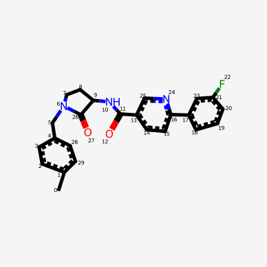 Cc1ccc(CN2CCC(NC(=O)c3ccc(-c4cccc(F)c4)nc3)C2=O)cc1